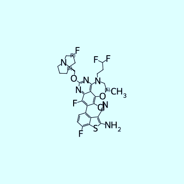 C[C@H]1CN(CCC(F)F)c2nc(OC[C@@]34CCCN3C[C@H](F)C4)nc3c(F)c(-c4ccc(F)c5sc(N)c(C#N)c45)c(Cl)c(c23)O1